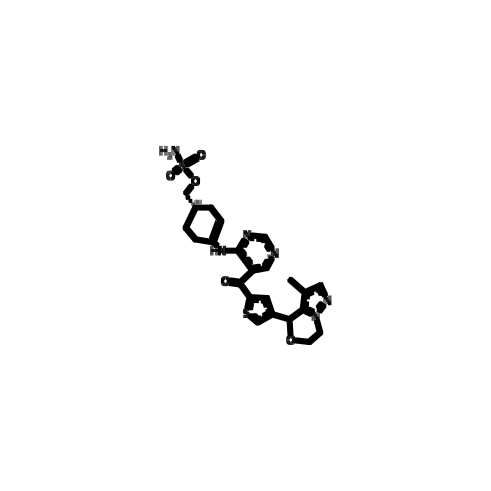 Cc1cnn2c1C(c1csc(C(=O)c3cncnc3NC3=CC[C@@H](COS(N)(=O)=O)CC3)c1)OCC2